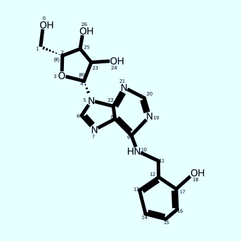 OC[C@H]1O[C@@H](n2cnc3c(NCc4ccccc4O)ncnc32)C(O)C1O